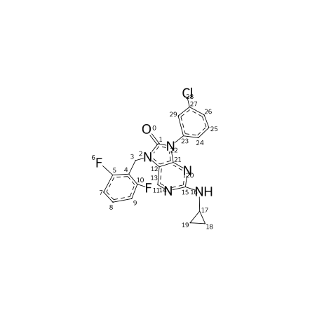 O=c1n(Cc2c(F)cccc2F)c2cnc(NC3CC3)nc2n1-c1cccc(Cl)c1